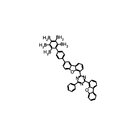 Bc1c(B)c(B)c(-c2ccc(-c3ccc4oc5c(-c6nc(-c7ccccc7)nc(-c7cccc8c7oc7ccccc78)n6)cccc5c4c3)cc2)c(B)c1B